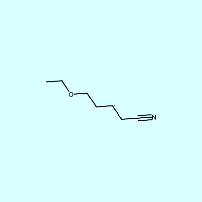 CCOCC[CH]CC#N